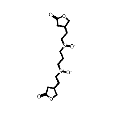 O=C1CC(CC[S+]([O-])CCC[S+]([O-])CCC2COC(=O)C2)CO1